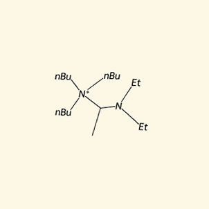 CCCC[N+](CCCC)(CCCC)C(C)N(CC)CC